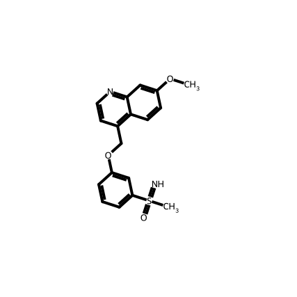 COc1ccc2c(COc3cccc(S(C)(=N)=O)c3)ccnc2c1